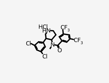 CN(C(=O)c1cc(C(F)(F)F)cc(C(F)(F)F)c1)C1CCNCC1c1cc(Cl)cc(Cl)c1.Cl